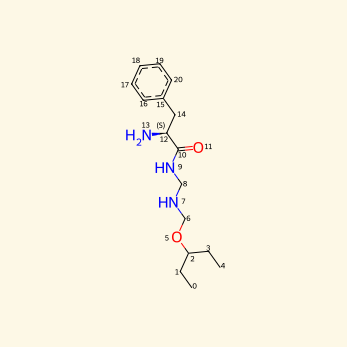 CCC(CC)OCNCNC(=O)[C@@H](N)Cc1ccccc1